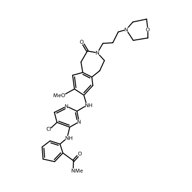 CNC(=O)c1ccccc1Nc1nc(Nc2cc3c(cc2OC)CC(=O)N(CCCN2CCOCC2)CC3)ncc1Cl